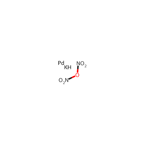 O=[N+]([O-])O[N+](=O)[O-].[KH].[Pd]